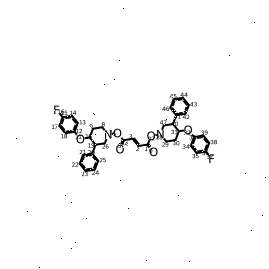 O=C(/C=C/C(=O)ON1CCC(Oc2ccc(F)cc2)C(c2ccccc2)C1)ON1CCC(Oc2ccc(F)cc2)C(c2ccccc2)C1